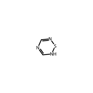 C1=NC=NSN1